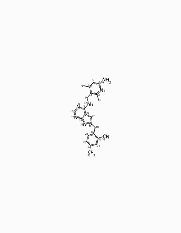 Cc1cc(N)nc(C)c1CNc1ncnc2nn(Cc3ccc(C(F)(F)F)cc3C#N)cc12